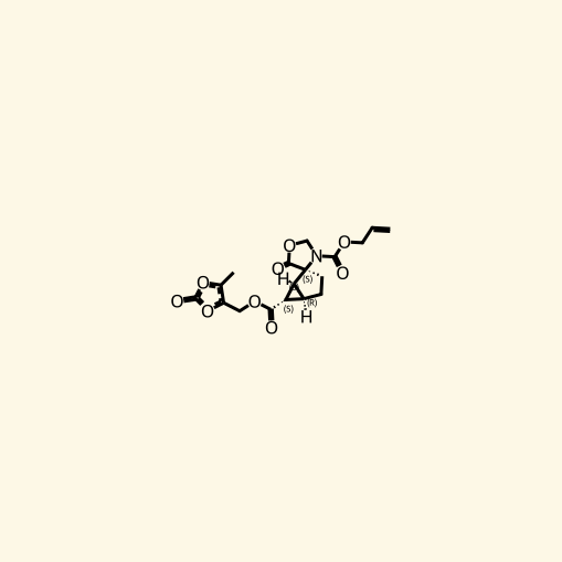 C=CCOC(=O)N1COC(=O)[C@@]12CC[C@H]1[C@H](C(=O)OCc3oc(=O)oc3C)[C@H]12